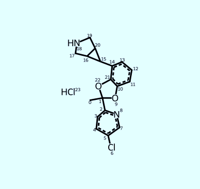 CC1(c2ccc(Cl)cn2)Oc2cccc(C3C4CNCC43)c2O1.Cl